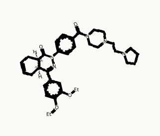 CCOc1ccc(C2=NN(c3ccc(C(=O)N4CCN(CCN5CCCC5)CC4)cc3)C(=O)[C@@H]3CC=CC[C@H]23)cc1OCC